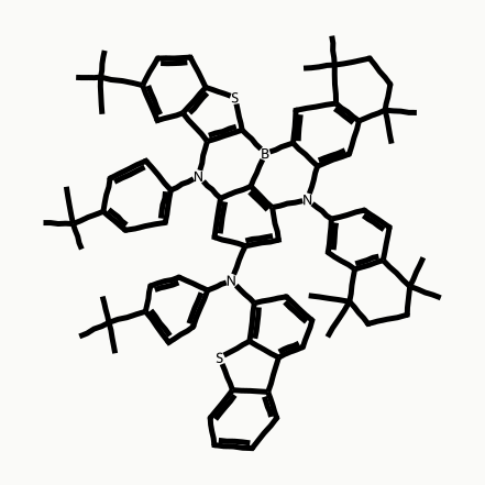 CC(C)(C)c1ccc(N2c3cc(N(c4ccc(C(C)(C)C)cc4)c4cccc5c4sc4ccccc45)cc4c3B(c3cc5c(cc3N4c3ccc4c(c3)C(C)(C)CCC4(C)C)C(C)(C)CCC5(C)C)c3sc4ccc(C(C)(C)C)cc4c32)cc1